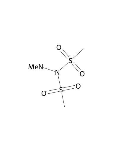 CNN(S(C)(=O)=O)S(C)(=O)=O